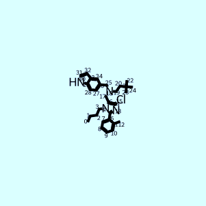 CCCCn1c(-c2ccccc2C)nc(Cl)c1CN(CCC(C)(C)C)Cc1ccc2[nH]ccc2c1